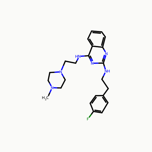 CN1CCN(CCNc2nc(NCCc3ccc(F)cc3)nc3ccccc23)CC1